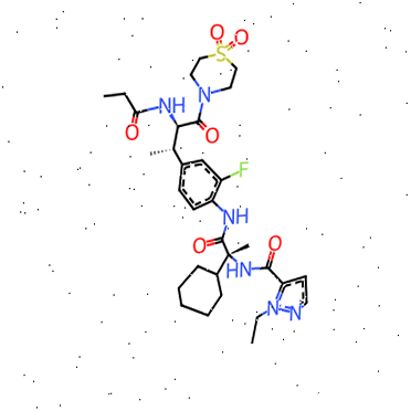 CCC(=O)N[C@@H](C(=O)N1CCS(=O)(=O)CC1)[C@@H](C)c1ccc(NC(=O)[C@](C)(NC(=O)c2ccnn2CC)C2CCCCC2)c(F)c1